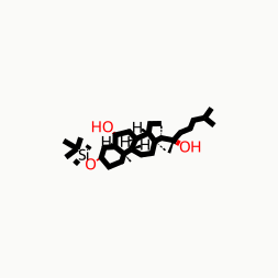 CC(C)CCC[C@](C)(O)[C@H]1CC[C@H]2[C@@H]3C[C@H](O)[C@H]4C[C@@H](O[Si](C)(C)C(C)(C)C)CC[C@]4(C)[C@H]3CC[C@@]21C